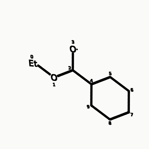 CCOC([O])C1CCCCC1